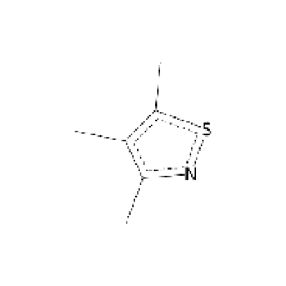 Cc1nsc(C)c1C